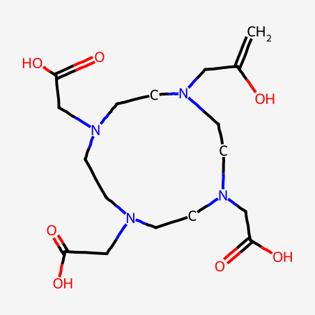 C=C(O)CN1CCN(CC(=O)O)CCN(CC(=O)O)CCN(CC(=O)O)CC1